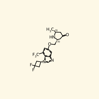 C[C@H]1CC(=O)C[C@@H](COc2cc(C(F)(F)F)c3c(c2)ncn3C2CC(F)(F)C2)N1